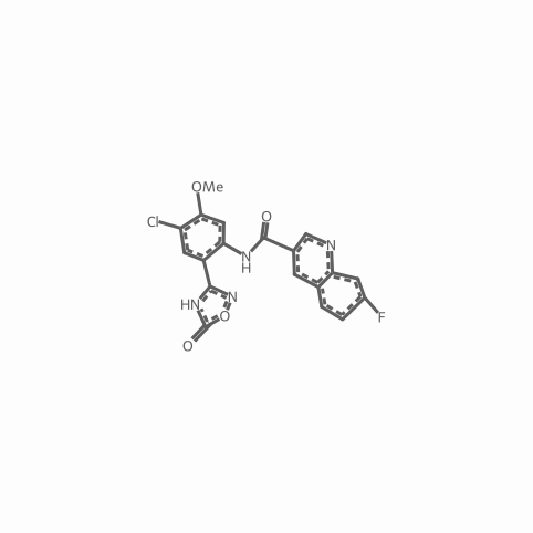 COc1cc(NC(=O)c2cnc3cc(F)ccc3c2)c(-c2noc(=O)[nH]2)cc1Cl